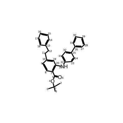 CC(C)(C)OC(=O)c1ccc(CCc2ccccc2)cc1Nc1ccc(-c2ccccc2)cc1